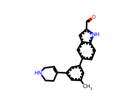 Cc1cc(C2=CCNCC2)cc(-c2ccc3[nH]c(C=O)cc3c2)c1